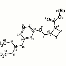 CC(C)(C)OC(=O)N1CC[C@H]1COc1cncc(CN(CC(=O)O)CC(=O)O)c1